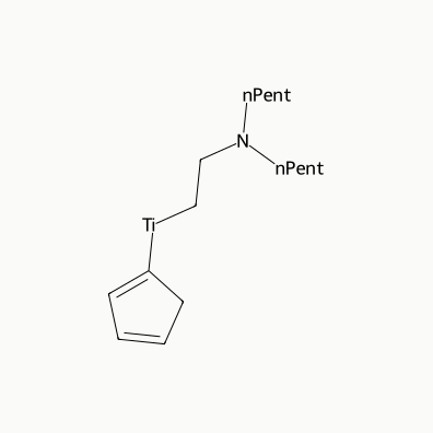 CCCCCN(CCCCC)C[CH2][Ti][C]1=CC=CC1